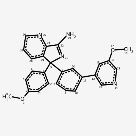 COc1ccc(C2(c3cccc(-c4cncc(OC)c4)c3)N=C(N)c3ncccc32)cc1